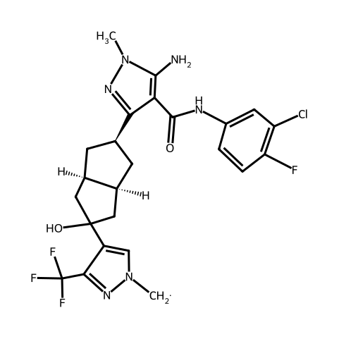 [CH2]n1cc(C2(O)C[C@H]3C[C@@H](c4nn(C)c(N)c4C(=O)Nc4ccc(F)c(Cl)c4)C[C@H]3C2)c(C(F)(F)F)n1